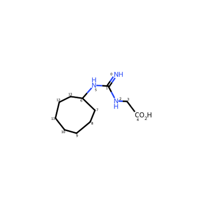 N=C(NCC(=O)O)NC1CCCCCCC1